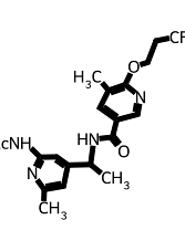 CC(=O)Nc1cc(C(C)NC(=O)c2cnc(OCCC(F)(F)F)c(C)c2)cc(C)n1